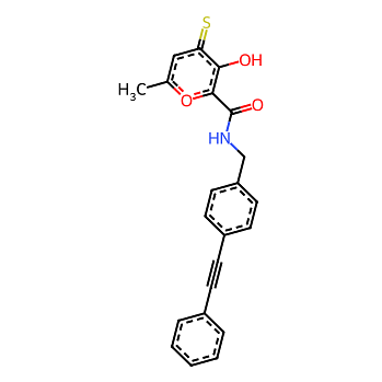 Cc1cc(=S)c(O)c(C(=O)NCc2ccc(C#Cc3ccccc3)cc2)o1